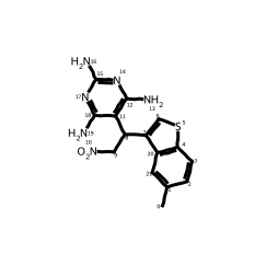 Cc1ccc2scc(C(C[N+](=O)[O-])c3c(N)nc(N)nc3N)c2c1